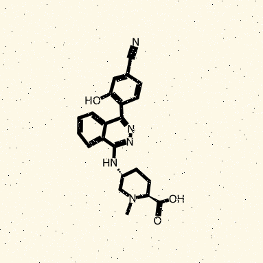 CN1C[C@H](Nc2nnc(-c3ccc(C#N)cc3O)c3ccccc23)CC[C@H]1C(=O)O